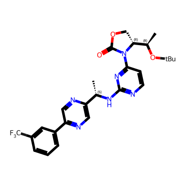 C[C@H](Nc1nccc(N2C(=O)OC[C@@H]2[C@@H](C)OC(C)(C)C)n1)c1cnc(-c2cccc(C(F)(F)F)c2)cn1